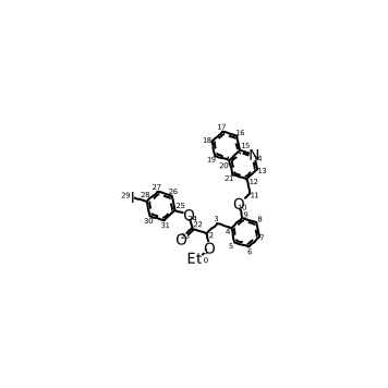 CCOC(Cc1ccccc1OCc1cnc2ccccc2c1)C(=O)Oc1ccc(I)cc1